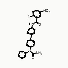 NC(=O)N(c1ccccc1)c1ccc(-c2ccc(NC(=O)c3cc([N+](=O)[O-])ccc3Cl)cc2)cc1